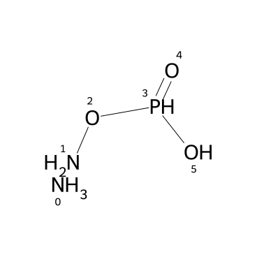 N.NO[PH](=O)O